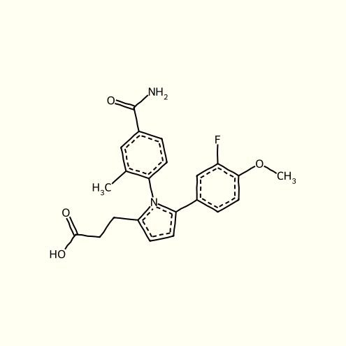 COc1ccc(-c2ccc(CCC(=O)O)n2-c2ccc(C(N)=O)cc2C)cc1F